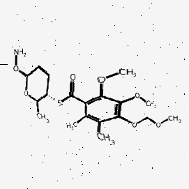 COCOc1c(C)c(C)c(C(=O)S[C@H]2CCC(ON)OC2C)c(OC)c1OC